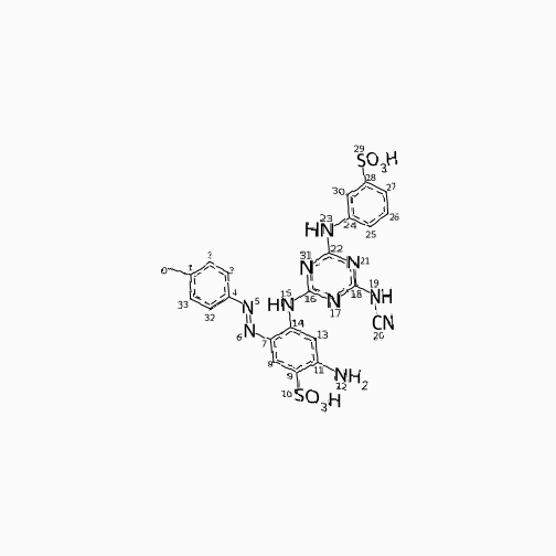 Cc1ccc(N=Nc2cc(S(=O)(=O)O)c(N)cc2Nc2nc(NC#N)nc(Nc3cccc(S(=O)(=O)O)c3)n2)cc1